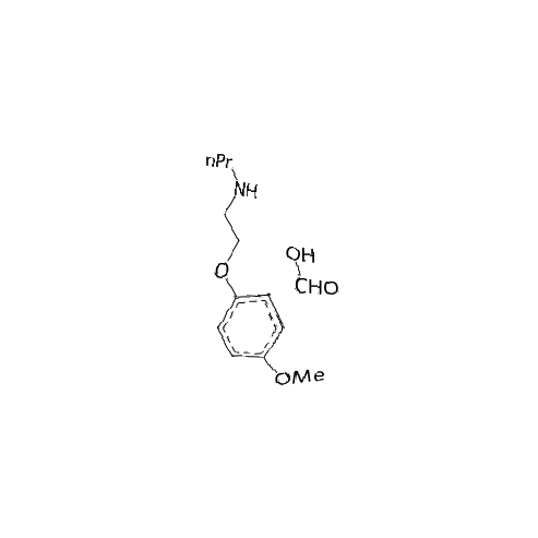 CCCNCCOc1ccc(OC)cc1.O=CO